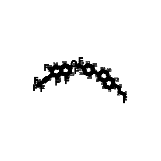 FCCCc1ccc2cc(-c3ccc(C(F)(F)Oc4cc(F)c5c(F)c(C#CC(F)(F)F)c(F)cc5c4)cc3)ccc2c1